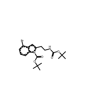 CC(C)(C)OC(=O)NCCc1cc2c(Br)cccc2n1C(=O)OC(C)(C)C